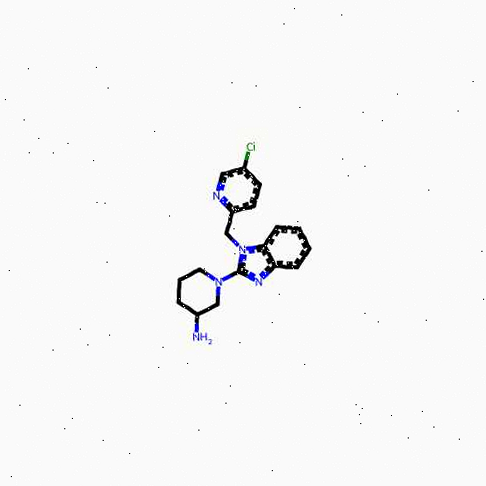 NC1CCCN(c2nc3ccccc3n2Cc2ccc(Cl)cn2)C1